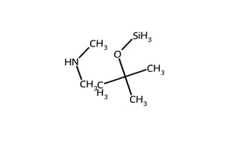 CC(C)(C)O[SiH3].CNC